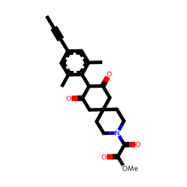 CC#Cc1cc(C)c(C2C(=O)CC3(CCN(C(=O)C(=O)OC)CC3)CC2=O)c(C)c1